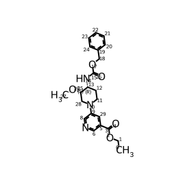 CCOC(=O)c1cncc(N2CC[C@@H](NC(=O)OCc3ccccc3)[C@@H](OC)C2)c1